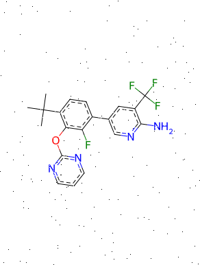 CC(C)(C)c1ccc(-c2cnc(N)c(C(F)(F)F)c2)c(F)c1Oc1ncccn1